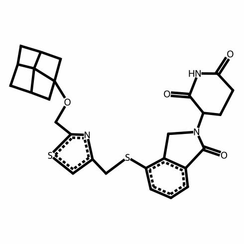 O=C1CCC(N2Cc3c(SCc4csc(COC56CC7CC8CC(C5)C876)n4)cccc3C2=O)C(=O)N1